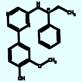 CC[C@H](Nc1cncc(-c2ccc(O)c(OC)c2)n1)c1ccccc1